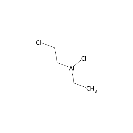 C[CH2][Al]([Cl])[CH2]CCl